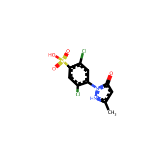 Cc1cc(=O)n(-c2cc(Cl)c(S(=O)(=O)O)cc2Cl)[nH]1